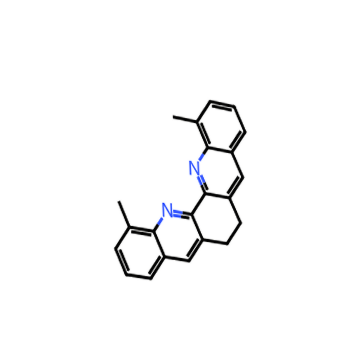 Cc1cccc2cc3c(nc12)-c1nc2c(C)cccc2cc1CC3